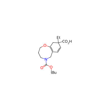 CCC1(C(=O)O)C=CC2=C(C1)OCCCN(C(=O)OC(C)(C)C)C2